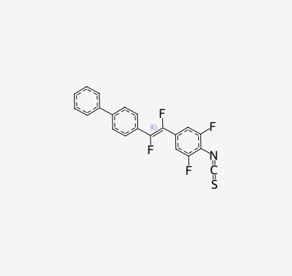 F/C(=C(/F)c1cc(F)c(N=C=S)c(F)c1)c1ccc(-c2ccccc2)cc1